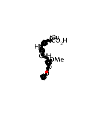 COc1cc(OCCCOc2ccccc2)ccc1CCNC(=O)N1CCC(Nc2ccc(CCN(C(=O)O)C(C)(C)C)cc2)CC1